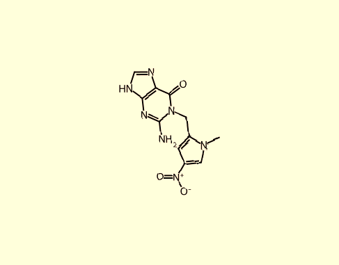 Cn1cc([N+](=O)[O-])cc1Cn1c(N)nc2[nH]cnc2c1=O